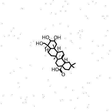 CC1(C)CC[C@]2(C(=O)O)CC[C@]3(C)C(=CC[C@@H]4[C@@]5(C)CC(O)C(O)[C@@](C)(CO)[C@@H]5CC[C@]43C)[C@@H]2C1